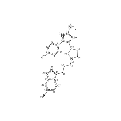 Nc1nc(-c2ccc(F)cc2)c(C2CCN(CCCc3nsc4cc(F)ccc34)C2)s1